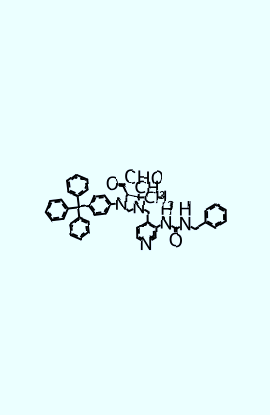 CC1(C)C(C(=O)C=O)N(c2ccc(C(c3ccccc3)(c3ccccc3)c3ccccc3)cc2)CN1Cc1ccncc1NC(=O)NCc1ccccc1